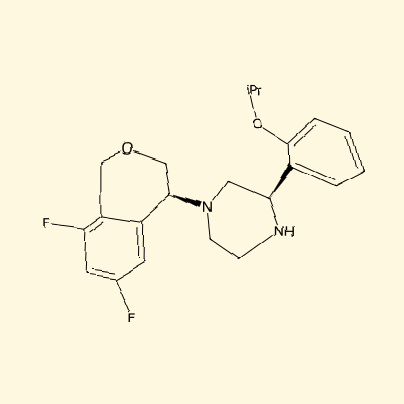 CC(C)Oc1ccccc1[C@@H]1CN([C@@H]2COCc3c(F)cc(F)cc32)CCN1